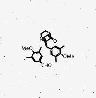 COc1c(C)cc(/C=C2\C(=O)C3CCN2CC3)cc1C.COc1c(C)cc(C=O)cc1C